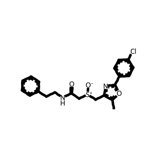 Cc1oc(-c2ccc(Cl)cc2)nc1C[S+]([O-])CC(=O)NCCc1ccccc1